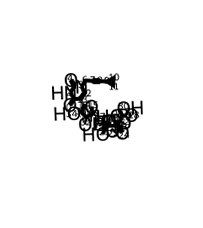 O=c1[nH]c(=O)n(CC#CC2CC2)cc1[C@@H]1O[C@H](COP(=O)(O)OP(=O)(O)OP(=O)(O)O)[C@@H](O)[C@H]1O